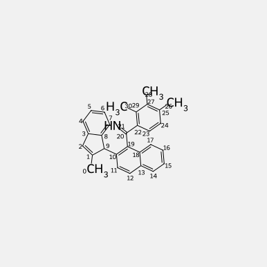 CC1=Cc2ccccc2C1c1ccc2ccccc2c1C(=N)c1ccc(C)c(C)c1C